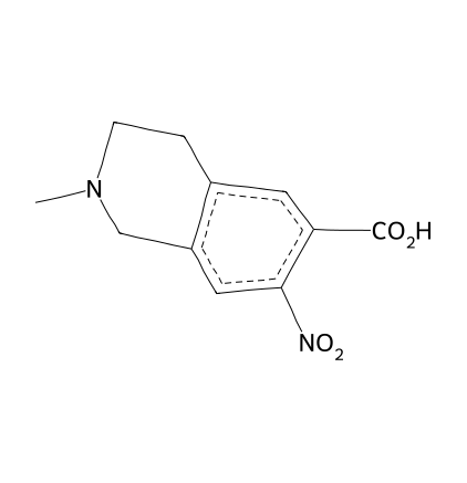 CN1CCc2cc(C(=O)O)c([N+](=O)[O-])cc2C1